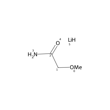 COCC(N)=O.[LiH]